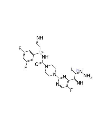 N=CC[C@H](NC(=O)N1CCN(c2ncc(F)c(C(=N)/C(I)=N\N)n2)CC1)c1cc(F)cc(F)c1